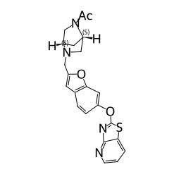 CC(=O)N1C[C@@H]2C[C@H]1CN2Cc1cc2ccc(Oc3nc4ncccc4s3)cc2o1